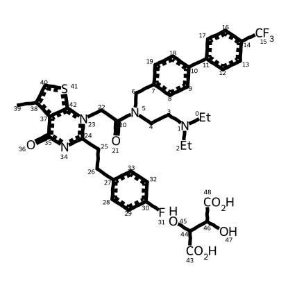 CCN(CC)CCN(Cc1ccc(-c2ccc(C(F)(F)F)cc2)cc1)C(=O)Cn1c(CCc2ccc(F)cc2)nc(=O)c2c(C)csc21.O=C(O)C(O)C(O)C(=O)O